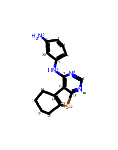 Nc1cccc(Nc2ncnc3sc4c(c23)CCCC4)c1